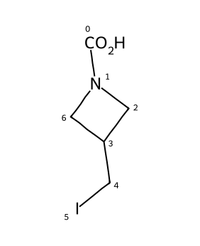 O=C(O)N1CC(CI)C1